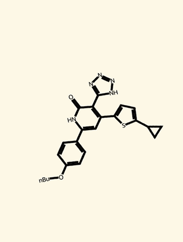 CCCCOc1ccc(-c2cc(-c3ccc(C4CC4)s3)c(-c3nnn[nH]3)c(=O)[nH]2)cc1